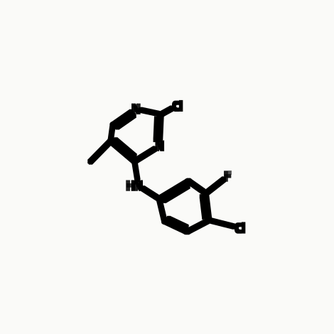 Cc1cnc(Cl)nc1Nc1ccc(Cl)c(F)c1